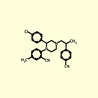 Cc1ccc(N2CCN(CC(C)c3ccc(C#N)cc3)CC2c2ccc(Cl)cc2)c(C#N)c1